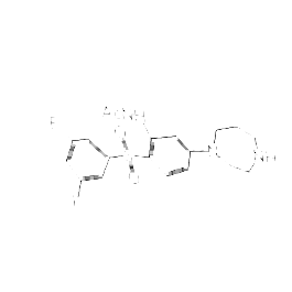 CC(=O)Nc1cc(N2CCCNCC2)ccc1S(=O)(=O)c1cc(F)cc(F)c1